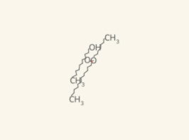 CCCCCCCCCCCCCC(=O)OCCCCCCCC.CCCCCCCCCCCCO